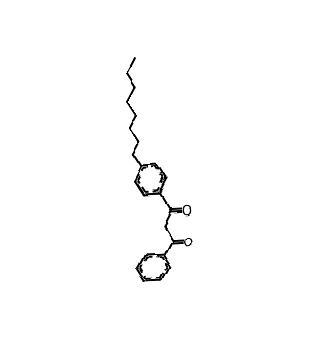 CCCCCCCCc1ccc(C(=O)CC(=O)c2ccccc2)cc1